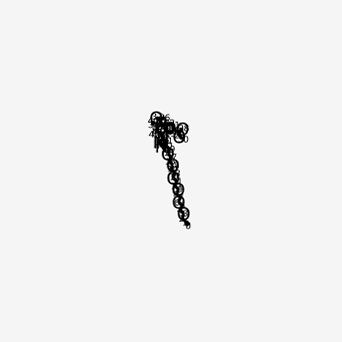 C#CCOCCOCCOCCOCCOCCOCc1cn([C@@H]2c3cc(C(=O)OC)ccc3N(C(C)=O)[C@@H](CC)[C@H]2C)nn1